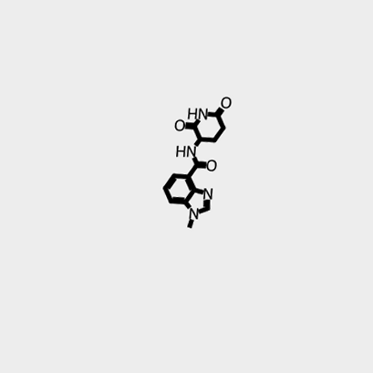 Cn1cnc2c(C(=O)NC3CCC(=O)NC3=O)cccc21